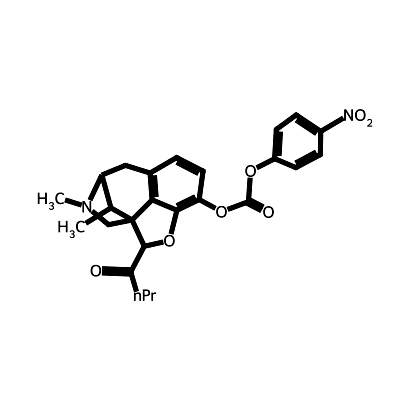 CCCC(=O)C1Oc2c(OC(=O)Oc3ccc([N+](=O)[O-])cc3)ccc3c2C12CN(C)C(C3)C2C